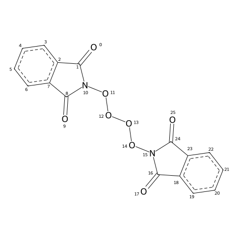 O=C1c2ccccc2C(=O)N1OOOON1C(=O)c2ccccc2C1=O